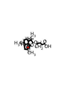 C=C(CCC(=O)O)O[C@@H]1O[C@@H]2O[C@]3(C)CC[C@H]4[C@H](C)CC[C@@H]([C@H]1C)[C@@]24OO3